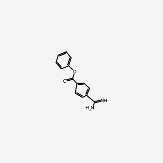 N=C(N)c1ccc(C(=O)Oc2ccccc2)cc1